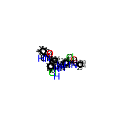 CC1(C(=O)NCc2ccc(Cl)c(Nc3nc4cc(C(=O)NC5CCCC5)c(Cl)cc4n3C3CCCC3)c2)CCCCC1